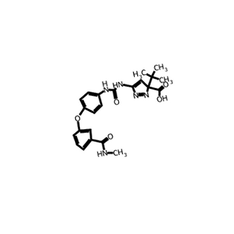 CNC(=O)c1cccc(Oc2ccc(NC(=O)NC3=CC(C(=O)O)(C(C)(C)C)N=N3)cc2)c1